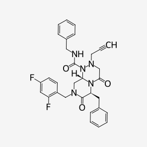 C#CCN1CC(=O)N2[C@@H](Cc3ccccc3)C(=O)N(Cc3ccc(F)cc3F)C[C@@H]2N1C(=O)NCc1ccccc1